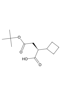 CC(C)(C)OC(=O)C[C@H](C(=O)O)C1CCC1